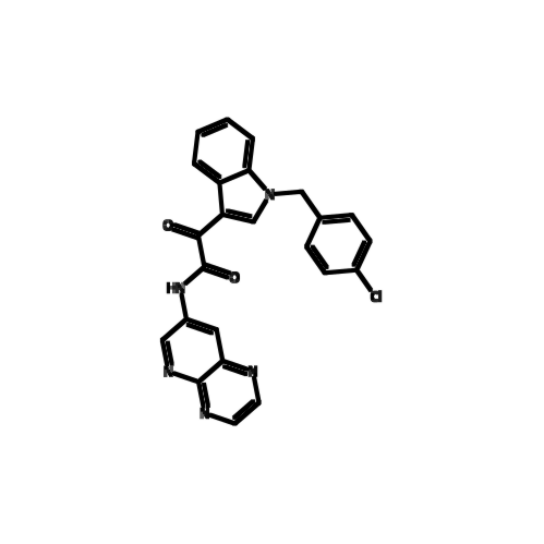 O=C(Nc1cnc2nccnc2c1)C(=O)c1cn(Cc2ccc(Cl)cc2)c2ccccc12